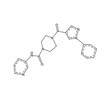 O=C(Nc1cccnc1)N1CCN(C(=O)c2cnn(-c3ccccc3)c2)CC1